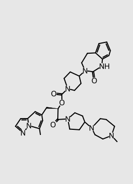 Cc1cc(C[C@@H](OC(=O)N2CCC(N3CCc4ccccc4NC3=O)CC2)C(=O)N2CCC(N3CCCN(C)CC3)CC2)cc2ccnn12